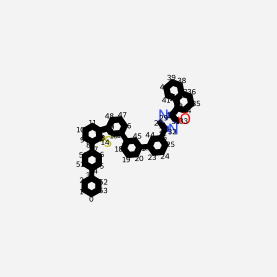 c1ccc(-c2ccc(-c3cccc4c3sc3c(-c5cccc(-c6cccc(-c7cnc8c(n7)oc7ccc9ccccc9c78)c6)c5)cccc34)cc2)cc1